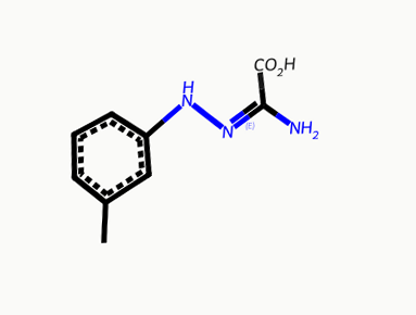 Cc1cccc(N/N=C(/N)C(=O)O)c1